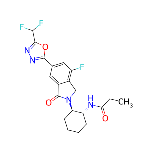 CCC(=O)N[C@@H]1CCCC[C@H]1N1Cc2c(F)cc(-c3nnc(C(F)F)o3)cc2C1=O